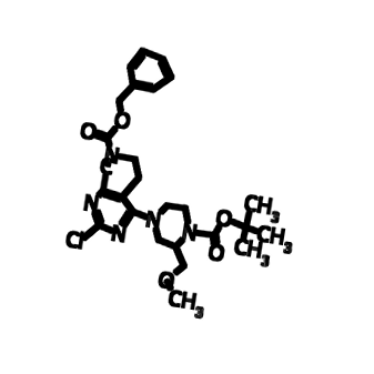 COCC1CN(c2nc(Cl)nc3c2CCN(C(=O)OCc2ccccc2)C3)CCN1C(=O)OC(C)(C)C